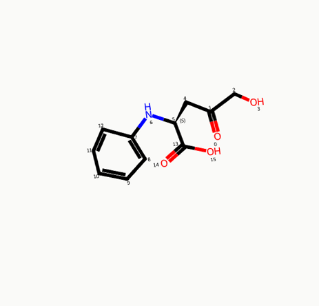 O=C(CO)C[C@H](Nc1ccccc1)C(=O)O